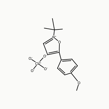 COc1ccc(-c2cc[n+](C(C)(C)C)o2)cc1.[O-][Cl+3]([O-])([O-])[O-]